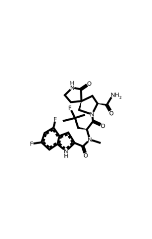 CN(C(=O)c1cc2c(F)cc(F)cc2[nH]1)[C@@H](CC(C)(C)F)C(=O)N1C[C@]2(CCNC2=O)C[C@H]1C(N)=O